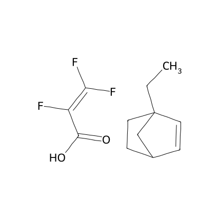 CCC12C=CC(CC1)C2.O=C(O)C(F)=C(F)F